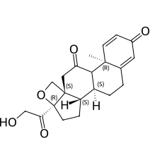 C[C@]12C=CC(=O)C=C1CC[C@@H]1C2C(=O)C[C@]23CO[C@]2(C(=O)CO)CC[C@@H]13